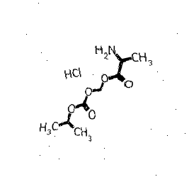 CC(C)OC(=O)OCOC(=O)C(C)N.Cl